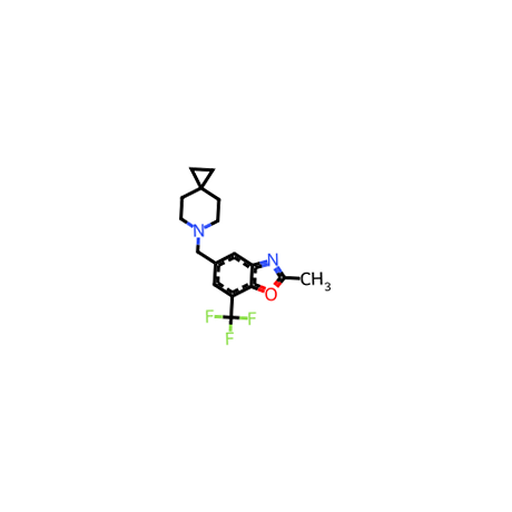 Cc1nc2cc(CN3CCC4(CC3)CC4)cc(C(F)(F)F)c2o1